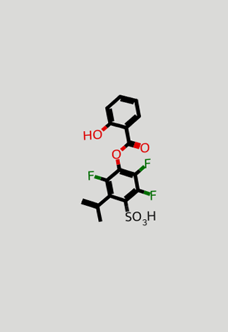 C=C(C)c1c(F)c(OC(=O)c2ccccc2O)c(F)c(F)c1S(=O)(=O)O